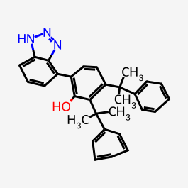 CC(C)(c1ccccc1)c1ccc(-c2cccc3[nH]nnc23)c(O)c1C(C)(C)c1ccccc1